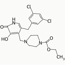 CCOC(=O)N1CCN(Cc2c(Cc3cc(Cl)cc(Cl)c3)c[nH]c(=O)c2O)CC1